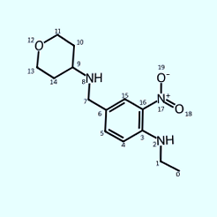 CCNc1ccc(CNC2CCOCC2)cc1[N+](=O)[O-]